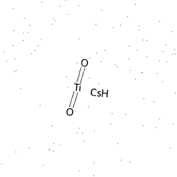 [CsH].[O]=[Ti]=[O]